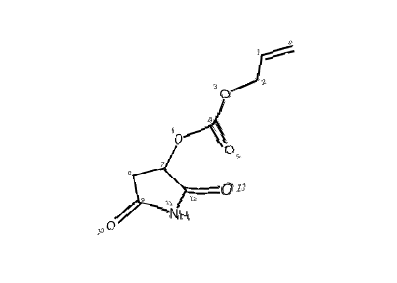 C=CCOC(=O)OC1CC(=O)NC1=O